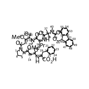 CC[C@H](C)[C@@H]([C@@H](CC(=O)N1CCC[C@H]1[C@H](OC)[C@@H](C)C(=O)N[C@@H](Cc1ccccc1)C(=O)O)OC)N(C)C(=O)[C@@H](NC(=O)C(C)(C)N(C)C(=O)OCC1c2ccccc2-c2ccccc21)C(C)C